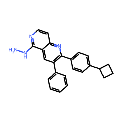 NNc1nccc2nc(-c3ccc(C4CCC4)cc3)c(-c3ccccc3)cc12